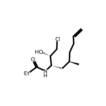 C=CCC[C@@H](C)C[C@H](NC(=O)[CH]C)[C@H](O)CCl